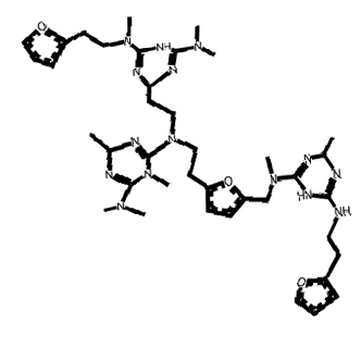 CC1N=C(NCCc2ccco2)NC(N(C)Cc2ccc(CCN(CCC3N=C(N(C)C)NC(N(C)CCc4ccco4)=N3)C3=NC(C)N=C(N(C)C)N3C)o2)=N1